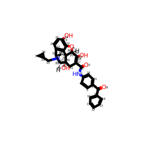 O=C(Nc1ccc(C(=O)c2ccccc2)cc1)C1=C(O)[C@@H]2Oc3c(O)ccc4c3[C@@]23CCN(CC2CC2)[C@H](C4)[C@]3(O)C1